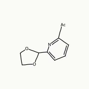 CC(=O)c1cccc(C2OCCO2)n1